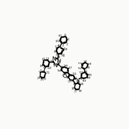 c1ccc(-c2ccc(-c3nc(-c4cccc(-c5ccccc5)c4)nc(-c4ccc5c(c4)oc4cc6c7ccccc7n(-c7cccc(-c8ccccc8)c7)c6cc45)n3)cc2)cc1